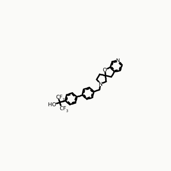 OC(c1ccc(-c2ccc(CN3CCC4(Cc5ccncc5O4)C3)cc2)cc1)(C(F)(F)F)C(F)(F)F